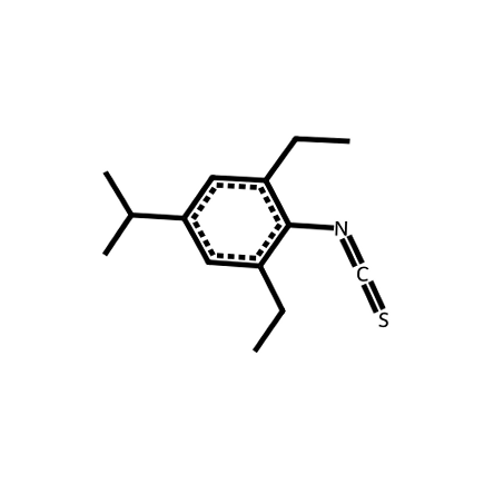 CCc1cc(C(C)C)cc(CC)c1N=C=S